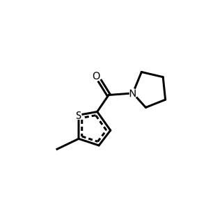 Cc1ccc(C(=O)N2CCCC2)s1